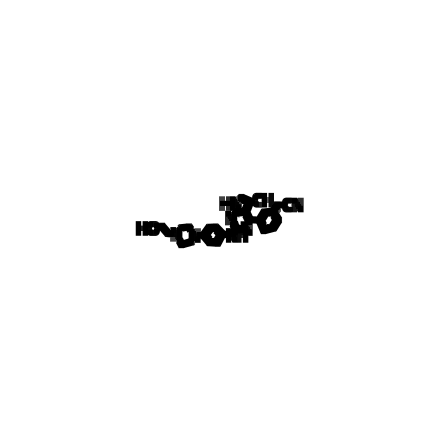 Cc1c[nH]c2nc(Nc3ccc(N4CCN(CCO)CC4)cc3)nc(-c3cccc(CC#N)c3)c12